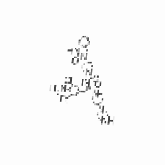 CCc1cc(C[C@@H](NC(=O)N2CCC(N3Cc4ccccc4NC3=O)CC2)C(=O)N2CCC(N3CCNCC3)CC2)cc(Cl)c1N